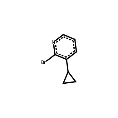 Brc1ncccc1C1CC1